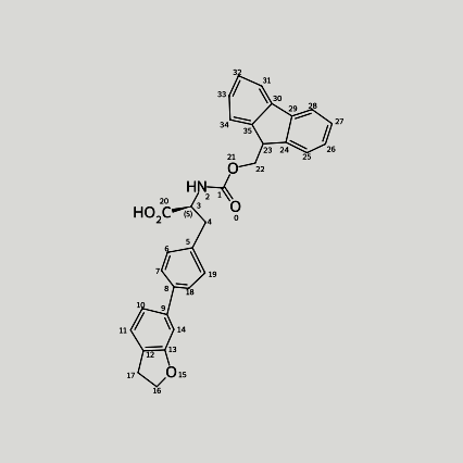 O=C(N[C@@H](Cc1ccc(-c2ccc3c(c2)OCC3)cc1)C(=O)O)OCC1c2ccccc2-c2ccccc21